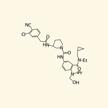 CCN(CC1CC1)C(=O)c1cc(NC(=O)N2CCCC(NC(=O)Cc3ccc(C#N)c(Cl)c3)C2)ccc1N(CO)C(C)C